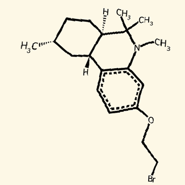 C[C@@H]1CC[C@@H]2[C@@H](C1)c1ccc(OCCBr)cc1N(C)C2(C)C